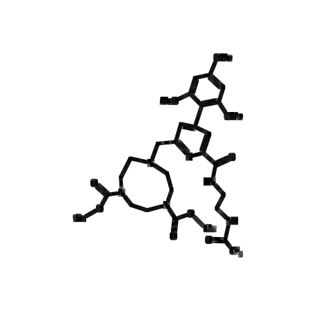 COc1cc(OC)c(-c2cc(CN3CCN(C(=O)OC(C)(C)C)CCN(C(=O)OC(C)(C)C)CC3)nc(C(=O)NCCNC(=O)C(F)(F)F)c2)c(OC)c1